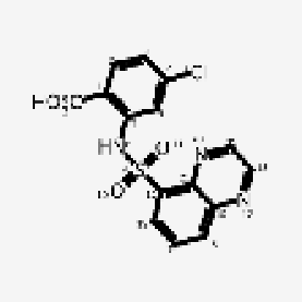 O=C(O)c1ccc(Cl)cc1NS(=O)(=O)c1cccc2nccnc12